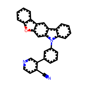 N#Cc1ccncc1-c1cccc(-n2c3ccccc3c3cc4c(cc32)oc2ccccc24)c1